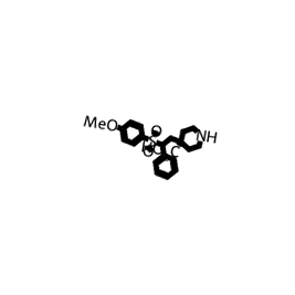 COc1ccc(S(=O)(=O)C(CC2(C(=O)O)CCNCC2)c2ccccc2)cc1